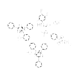 COc1cc(-c2ccc(-[n+]3nc(-c4ccccc4)nn3-c3ccccc3)c(OC)c2)ccc1-[n+]1nc(-c2ccccc2)nn1-c1ccccc1.Cc1cc(F)c(F)cc1NC(=O)[C@@H]1[C@@H](c2ccc(S(N)(=O)=O)cc2)C1(C)C.[Cl-].[Cl-]